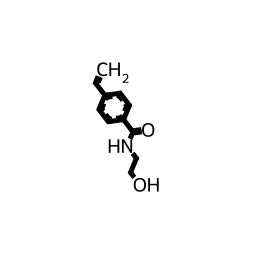 C=Cc1ccc(C(=O)NCCO)cc1